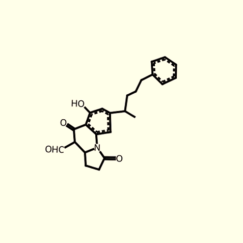 CC(CCCc1ccccc1)c1cc(O)c2c(c1)N1C(=O)CCC1C(C=O)C2=O